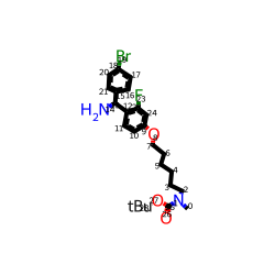 CN(CCCCCCOc1ccc(C(N)c2ccc(Br)cc2)c(F)c1)C(=O)OC(C)(C)C